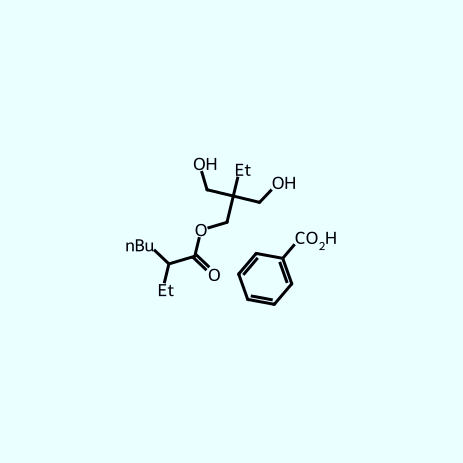 CCCCC(CC)C(=O)OCC(CC)(CO)CO.O=C(O)c1ccccc1